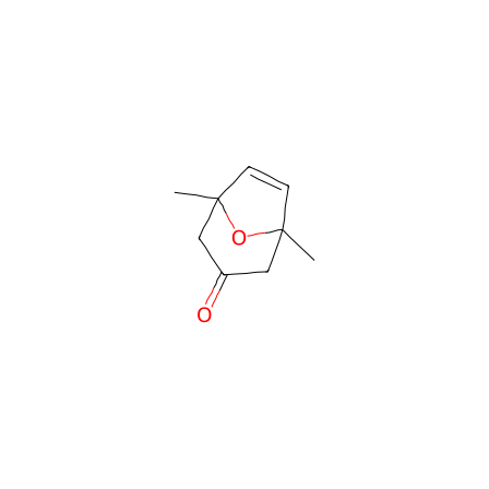 CC12C=CC(C)(CC(=O)C1)O2